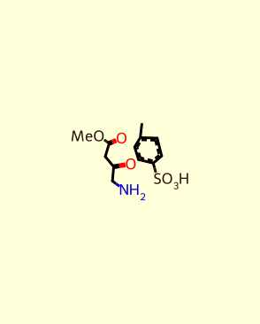 COC(=O)CC(=O)CN.Cc1ccc(S(=O)(=O)O)cc1